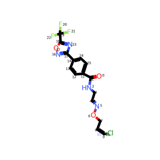 O=C(NCC=NOC/C=C\Cl)c1ccc(-c2noc(C(F)(F)F)n2)cc1